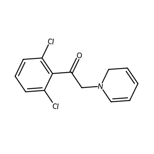 O=C(CN1C=CC=CC1)c1c(Cl)cccc1Cl